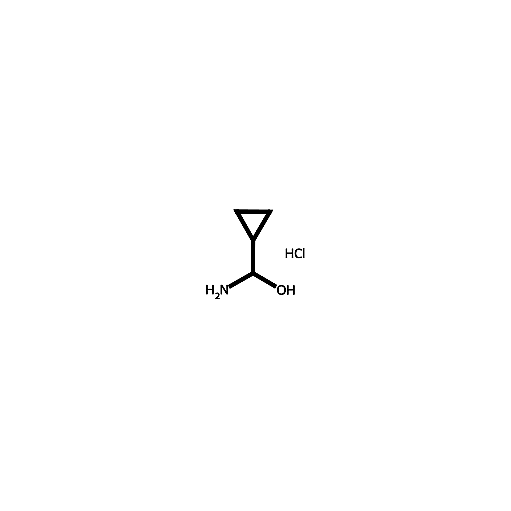 Cl.NC(O)C1CC1